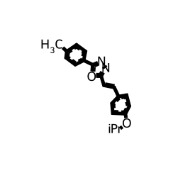 Cc1ccc(-c2nnc(/C=C/c3ccc(OC(C)C)cc3)o2)cc1